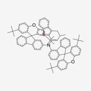 CC1C=C(N(c2ccc3c(c2)C2(c4cc(C(C)(C)C)ccc4Oc4ccc(C(C)(C)C)cc42)c2ccccc2-3)c2cccc3c2-c2ccccc2C32c3cc(C(C)(C)C)ccc3Oc3ccc(C(C)(C)C)cc32)c2sc3ccccc3c2C1